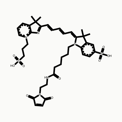 CC1(C)C(/C=C/C=C/C=C2\N(CCCCCC(=O)NCCN3C(=O)C=CC3=O)c3ccc(S(=O)(=O)O)cc3C2(C)C)=Nc2c1ccc[n+]2CCCS(=O)(=O)O